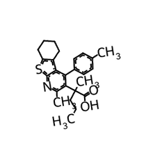 CCCC(C)(C(=O)O)c1c(C)nc2sc3c(c2c1-c1ccc(C)cc1)CCCC3